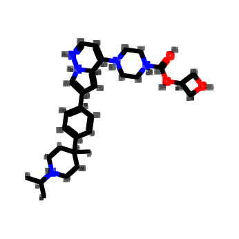 CC(C)N1CCC(C)(c2ccc(-c3cc4c(N5CCN(C(=O)OC6COC6)CC5)ccnn4c3)cc2)CC1